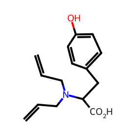 C=CCN(CC=C)C(Cc1ccc(O)cc1)C(=O)O